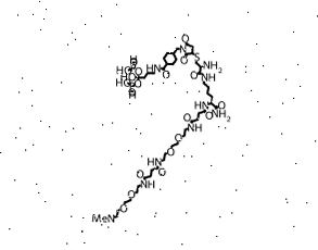 CNCCOCCOCCNC(=O)CCC(=O)NCCOCCOCCNC(=O)CCC(=O)N[C@@H](CCCCNC(=O)[C@H](N)CSC1CC(=O)N(CC2CCC(C(=O)NCCCC(O)(O[PH](=O)O)O[PH](=O)O)CC2)C1=O)C(N)=O